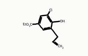 C=CCc1cc(C(=O)OCC)cc(Cl)c1O